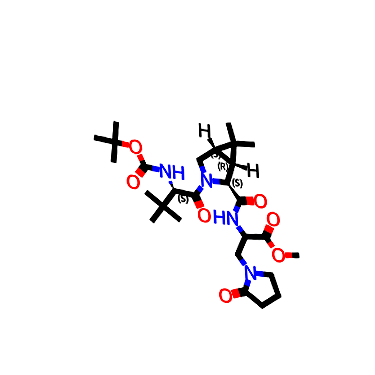 COC(=O)C(CN1CCCC1=O)NC(=O)[C@@H]1[C@@H]2[C@H](CN1C(=O)[C@@H](NC(=O)OC(C)(C)C)C(C)(C)C)C2(C)C